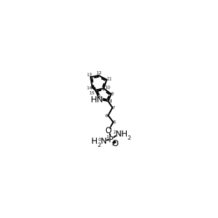 NP(N)(=O)OCCCc1cc2ccccc2[nH]1